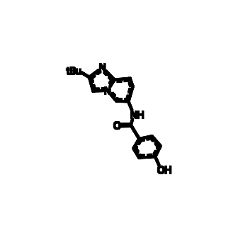 CC(C)(C)c1cn2cc(NC(=O)c3ccc(O)cc3)ccc2n1